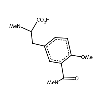 CNC(=O)c1cc(CC(NC)C(=O)O)ccc1OC